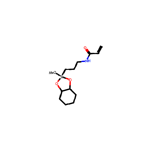 C=CC(=O)NCCC[Si]1(OC)OC2CCCCC2O1